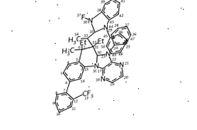 CCC1(C)c2ccc(-c3ccccc3C(F)(F)F)cc2N2c3nccnc3N(c3ccccc3)C2C1(CC)C(C)C1N(F)c2ccccc2N1c1ccccc1